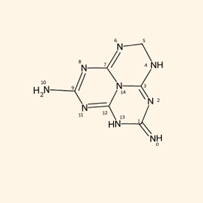 N=C1N=C2NCN=C3N=C(N)N=C(N1)N32